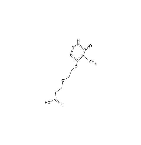 Cc1c(OCCOCCC(=O)O)cn[nH]c1=O